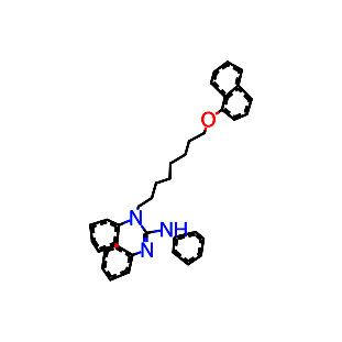 c1ccc(/N=C(/Nc2ccccc2)N(CCCCCCCCOc2cccc3ccccc23)c2ccccc2)cc1